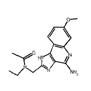 CCN(Cc1nc2c(N)nc3cc(OC)ccc3c2[nH]1)C(C)=O